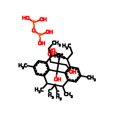 CCC(C)c1cc(C)cc(C(C)CC)c1C(O)(c1c(C(C)CC)cc(C)cc1C(C)CC)C(CO)(CO)CO.OP(O)OP(O)O